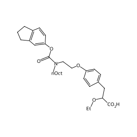 CCCCCCCCN(CCOc1ccc(CC(OCC)C(=O)O)cc1)C(=O)Oc1ccc2c(c1)CCC2